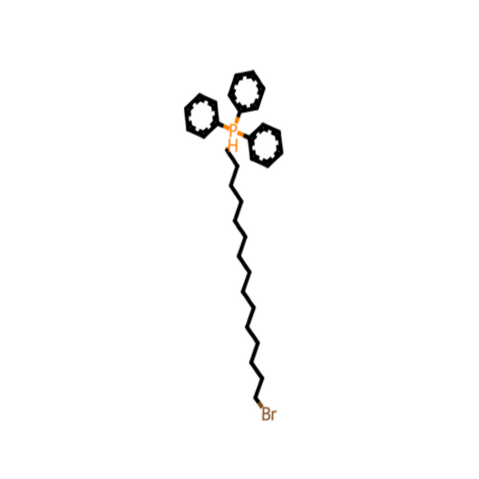 BrCCCCCCCCCCCCCCC[PH](c1ccccc1)(c1ccccc1)c1ccccc1